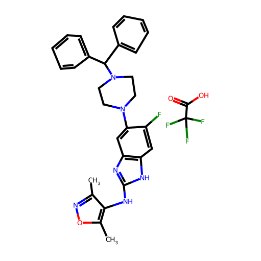 Cc1noc(C)c1Nc1nc2cc(N3CCN(C(c4ccccc4)c4ccccc4)CC3)c(F)cc2[nH]1.O=C(O)C(F)(F)F